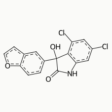 O=C1Nc2cc(Cl)cc(Cl)c2C1(O)c1ccc2occc2c1